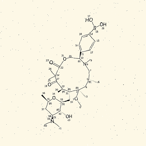 CO[C@]1(C)C[C@@H](C)CN(C)[C@H](c2ccc(B(O)O)cc2)COC(=O)C(C)(C)C(=O)[C@H](C)[C@H]1C[C@@H]1O[C@H](C)C[C@H](N(C)C)[C@H]1O